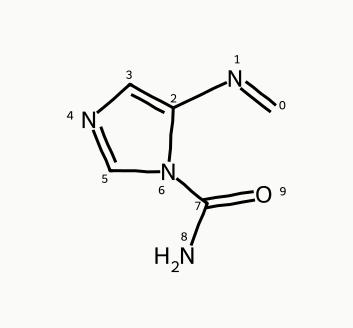 C=Nc1cncn1C(N)=O